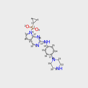 O=S(=O)(C1CC1)n1ccc2cnc(Nc3ccc(N4CCNCC4)cc3)nc21